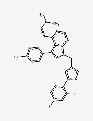 CN(C)/C=N\c1ncnc2c1c(-c1cnc(C(F)(F)F)nc1)cn2Cc1cnn(-c2ccc(F)cc2F)c1